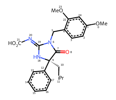 COc1ccc(CN2C(=O)[C@@](CC(C)C)(c3ccccc3)NC2=NC(=O)O)c(OC)c1